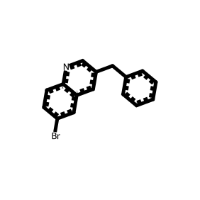 Brc1ccc2ncc(Cc3ccccc3)cc2c1